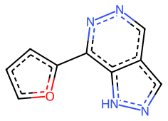 c1coc(-c2nncc3cn[nH]c23)c1